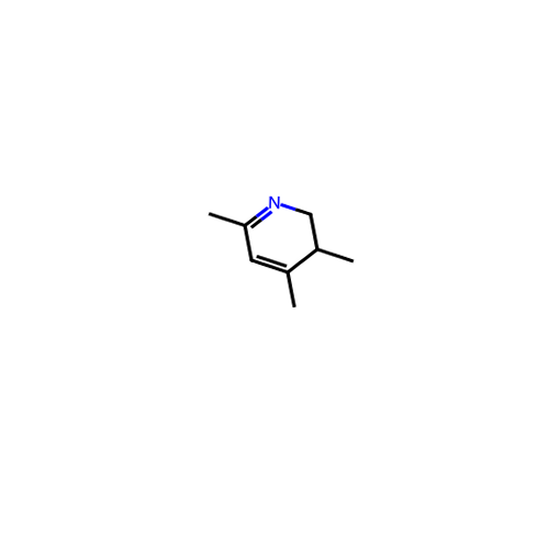 CC1=CC(C)=NCC1C